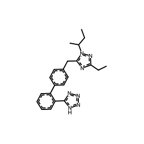 CCc1nc(Cc2ccc(-c3ccccc3-c3nnn[nH]3)cc2)n(C(C)CC)n1